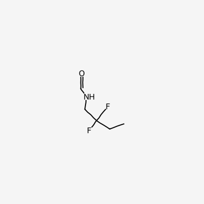 CCC(F)(F)CNC=O